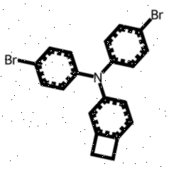 Brc1ccc(N(c2ccc(Br)cc2)c2ccc3c(c2)CC3)cc1